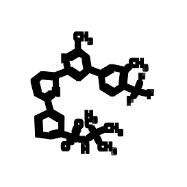 Cc1cc(-c2ccc(C(F)(F)F)c(C)c2)cc(-c2cccc(-c3cccc(S(=O)(=O)NC(C)(C)C)c3)n2)n1